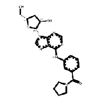 O=C(c1cccc(Nc2ncnc3c2ncn3[C@@H]2O[C@H](CO)C[C@H]2O)c1)N1CCCC1